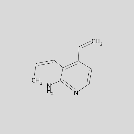 C=Cc1ccnc(N)c1/C=C\C